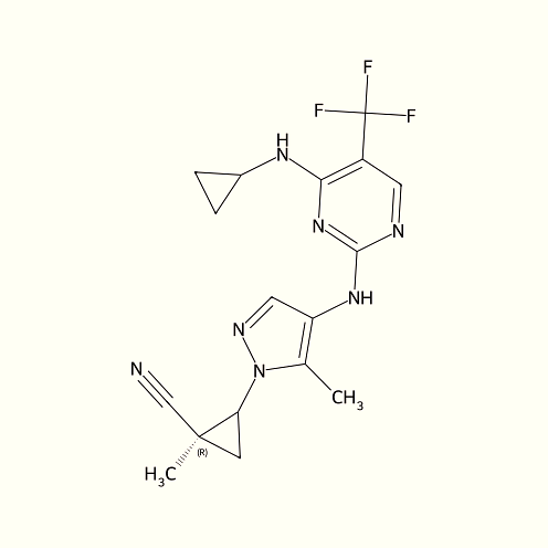 Cc1c(Nc2ncc(C(F)(F)F)c(NC3CC3)n2)cnn1C1C[C@@]1(C)C#N